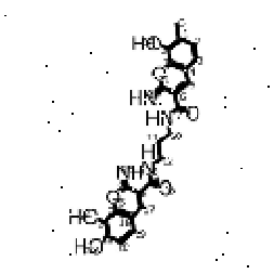 Cc1ccc2cc(C(=O)NCCCNC(=O)c3cc4ccc(O)c(O)c4oc3=N)c(=N)oc2c1O